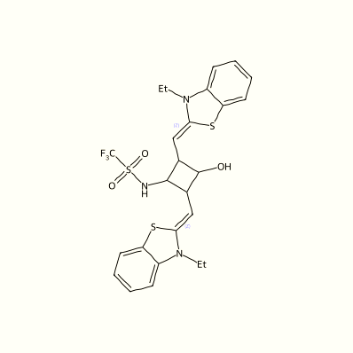 CCN1/C(=C/C2C(O)C(/C=C3\Sc4ccccc4N3CC)C2NS(=O)(=O)C(F)(F)F)Sc2ccccc21